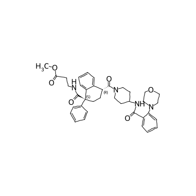 COC(=O)CCNC(=O)[C@]1(c2ccccc2)CC[C@@H](C(=O)N2CCC(NC(=O)c3ccccc3N3CCOCC3)CC2)c2ccccc21